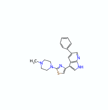 CN1CCN(c2nc(-c3c[nH]c4ncc(-c5ccccc5)cc34)cs2)CC1